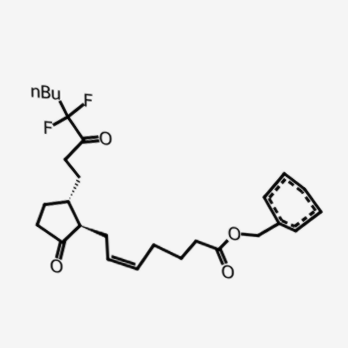 CCCCC(F)(F)C(=O)CC[C@H]1CCC(=O)[C@@H]1C/C=C\CCCC(=O)OCc1ccccc1